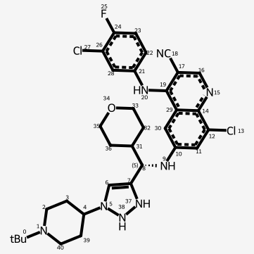 CC(C)(C)N1CCC(N2C=C([C@@H](Nc3cc(Cl)c4ncc(C#N)c(Nc5ccc(F)c(Cl)c5)c4c3)C3CCOCC3)NN2)CC1